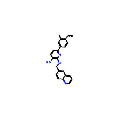 C=Cc1ccc(-c2ccc(N)c(NCc3ccc4ncccc4c3)n2)cc1C